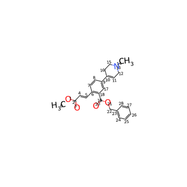 COC(=O)/C=C/c1ccc(C2=CCN(C)CC2)cc1C(=O)OCc1ccccc1